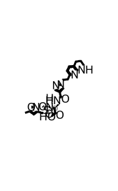 Cc1cc(CS(=O)(=O)N[C@@H](CNC(=O)c2cnn(CCc3ccc4c(n3)NCCC4)c2)C(=O)O)no1